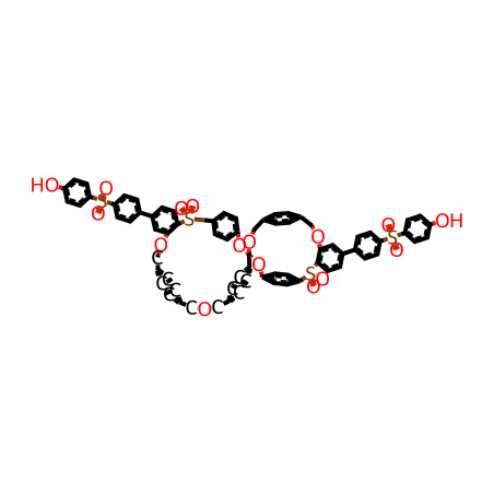 O=S(=O)(c1ccc(O)cc1)c1ccc(-c2ccc3c(c2)OCc2ccc(cc2)COCc2ccc(cc2)C2(OCc4ccc(cc4)COc4cc(-c5ccc(S(=O)(=O)c6ccc(O)cc6)cc5)ccc4S(=O)(=O)c4ccc(cc4)O2)Oc2ccc(cc2)S3(=O)=O)cc1